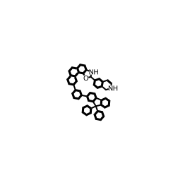 C1=Cc2cc(C3Nc4ccc5ccc6ccc(-c7cccc(-c8ccc9c(c8)C(c8ccccc8)(c8ccccc8)c8ccccc8-9)c7)cc6c5c4O3)ccc2CN1